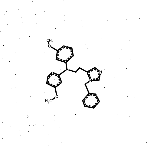 COc1cccc(C(CCc2cncn2Cc2ccccc2)c2cccc(OC)c2)c1